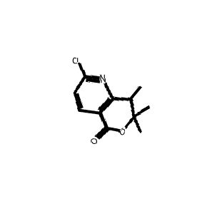 CC1c2nc(Cl)ccc2C(=O)OC1(C)C